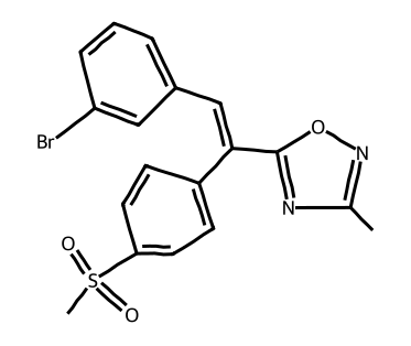 Cc1noc(/C(=C/c2cccc(Br)c2)c2ccc(S(C)(=O)=O)cc2)n1